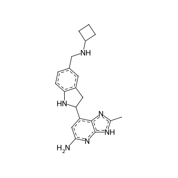 Cc1nc2c(C3Cc4cc(CNC5CCC5)ccc4N3)cc(N)nc2[nH]1